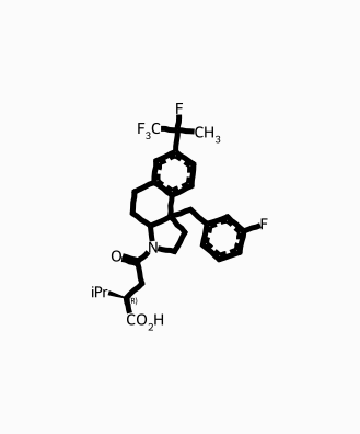 CC(C)[C@@H](CC(=O)N1CCC2(Cc3cccc(F)c3)c3ccc(C(C)(F)C(F)(F)F)cc3CCC12)C(=O)O